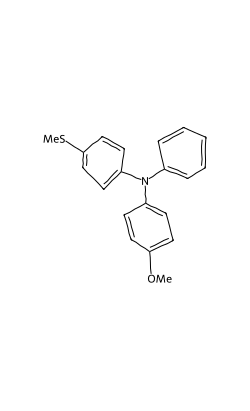 COc1ccc(N(c2ccccc2)c2ccc(SC)cc2)cc1